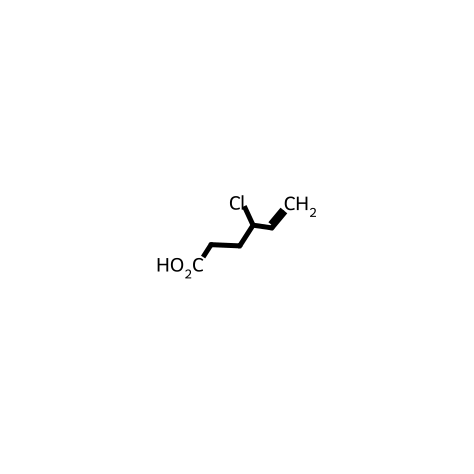 C=CC(Cl)CCC(=O)O